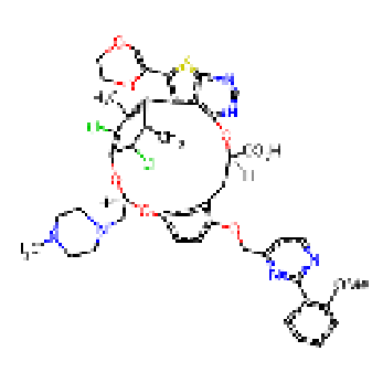 COc1ccccc1-c1nccc(COc2ccc3cc2C[C@H](C(=O)O)Oc2ncnc4sc(C5=COCCO5)c(c24)C2=C(C)C(Cl)=C(O[C@H](CN4CCN(C)CC4)O3)C(Cl)C2C)n1